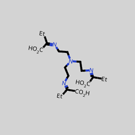 CCC(=NCCN(CCN=C(CC)C(=O)O)CCN=C(CC)C(=O)O)C(=O)O